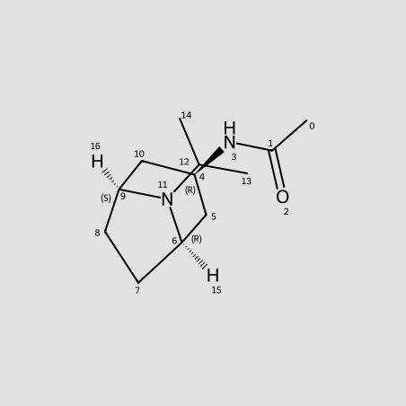 CC(=O)N[C@H]1C[C@H]2CC[C@@H](C1)N2C(C)C